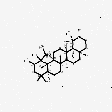 C[C@@H]1CC[C@]2(C)CC[C@]3(C)[C@H](CC[C@@H]4[C@]5(C)[C@@H](CC[C@]43C)C(C)(C)CC(O)C5(O)C(=O)O)[C@@H]2[C@]1(C)O